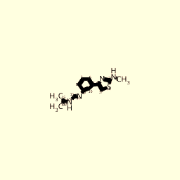 CNc1nc(-c2cccc(/N=C/NC(C)C)c2)cs1